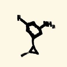 C[C@H]1C[C@@H]1c1cc(N)cc(F)c1